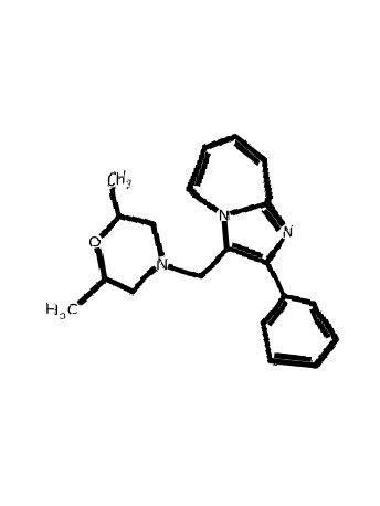 CC1CN(Cc2c(-c3ccccc3)nc3ccccn23)CC(C)O1